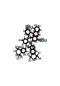 Cc1cc2c3c(c1)N(c1ccc4c(c1)C(C)(C)CCC4(C)C)c1c(sc4cc5c(cc14)C(C)(C)CCC5(C)C)B3c1cc(C(C)(C)C)ccc1N2c1ccc(C(C)(C)C)cc1-c1cccc2ccccc12